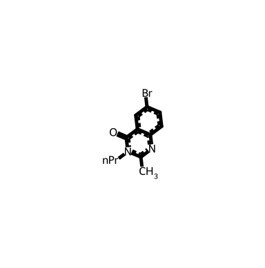 CCCn1c(C)nc2ccc(Br)cc2c1=O